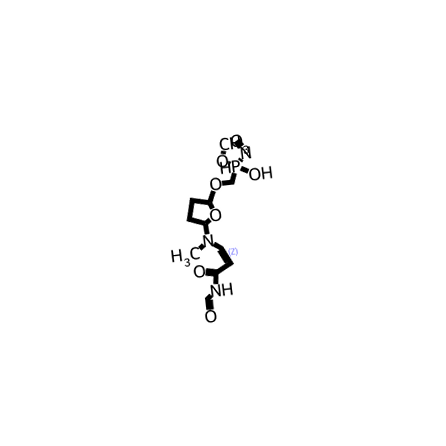 CO[PH](O)(COC1CCC(N(C)/C=C\C(=O)NC=O)O1)N=O